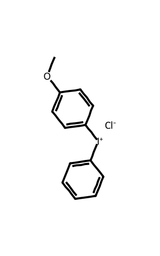 COc1ccc([I+]c2ccccc2)cc1.[Cl-]